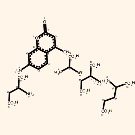 CC(C)C(N)C(=O)O.Cc1cc(=O)oc2cc(N)ccc12.NC(CC(=O)O)C(=O)O.NC(CC(=O)O)C(=O)O.NC(CCC(=O)O)C(=O)O